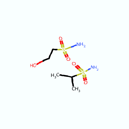 CC(C)S(N)(=O)=O.NS(=O)(=O)CCO